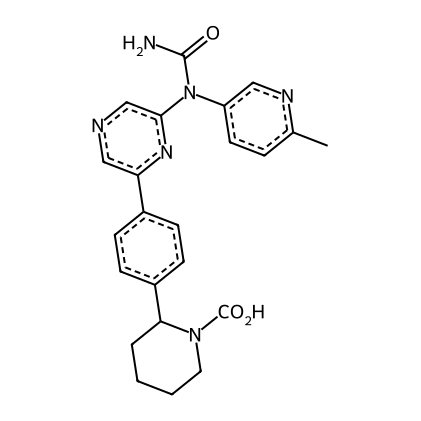 Cc1ccc(N(C(N)=O)c2cncc(-c3ccc(C4CCCCN4C(=O)O)cc3)n2)cn1